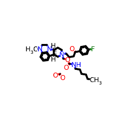 CCCCCCNC(=O)OC[N+]1(CCCC(=O)c2ccc(F)cc2)CC[C@H]2[C@@H](C1)c1cccc3c1N2CCN3C.O=C[O-]